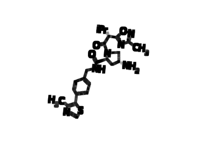 Cc1noc([C@H](C(=O)N2C[C@H](N)C[C@H]2C(=O)NCc2ccc(-c3scnc3C)cc2)C(C)C)n1